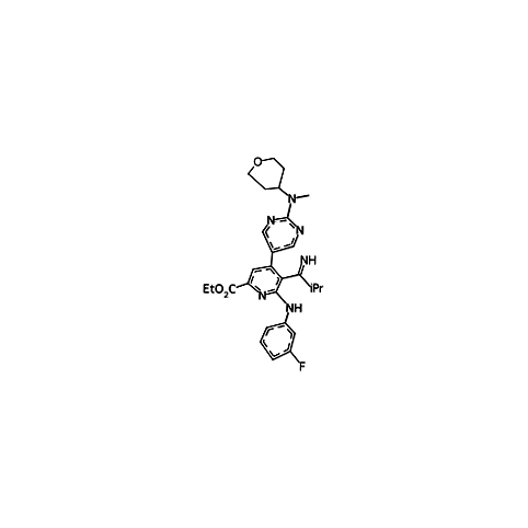 CCOC(=O)c1cc(-c2cnc(N(C)C3CCOCC3)nc2)c(C(=N)C(C)C)c(Nc2cccc(F)c2)n1